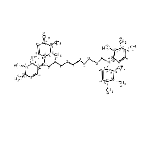 C[C@H]1[C@H](C)[C@@H](N(CCCCCCCCCCN([C@H]2C=C[C@@H](C)[C@@H](C)[C@@H]2C)[C@H]2C=C[C@@H](C)[C@@H](C)[C@@H]2C)[C@H]2C=C[C@@H](C)[C@@H](C)[C@@H]2C)C=C[C@H]1C